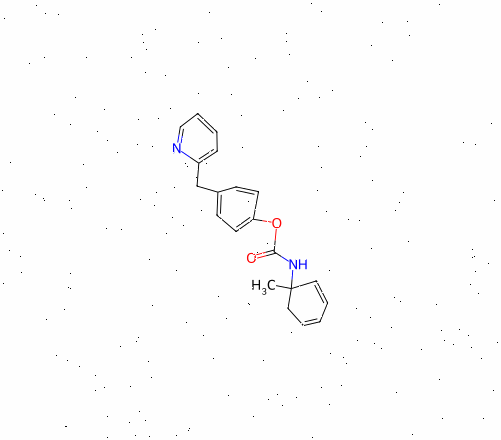 CC1(NC(=O)Oc2ccc(Cc3ccccn3)cc2)C=CC=CC1